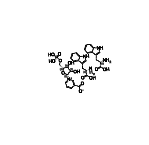 N[C@@H](Cc1c[nH]c2ccccc12)C(=O)O.N[C@@H](Cc1c[nH]c2ccccc12)C(=O)O.O=C([O-])c1ccc[n+]([C@@H]2O[C@H](COP(=O)(O)O)[C@@H](O)[C@H]2O)c1